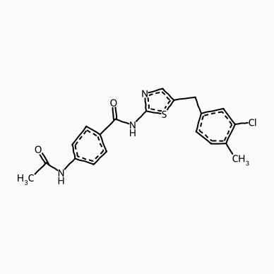 CC(=O)Nc1ccc(C(=O)Nc2ncc(Cc3ccc(C)c(Cl)c3)s2)cc1